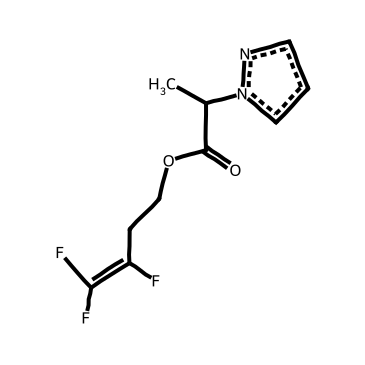 CC(C(=O)OCCC(F)=C(F)F)n1cccn1